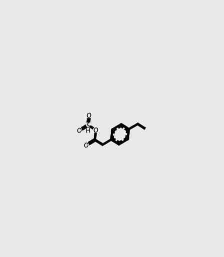 CCc1ccc(CC(=O)O[SH](=O)=O)cc1